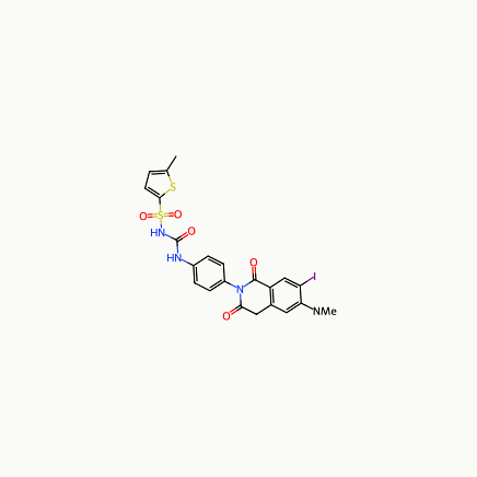 CNc1cc2c(cc1I)C(=O)N(c1ccc(NC(=O)NS(=O)(=O)c3ccc(C)s3)cc1)C(=O)C2